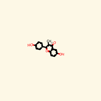 Cc1c(-c2ccc(O)cc2)oc2ccc(O)cc2c1=O